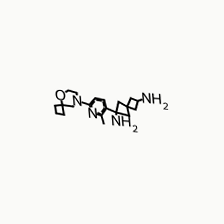 Cc1nc(N2CCOC3(CCC3)C2)ccc1C1(N)CC2(CC(N)C2)C1